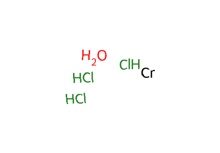 Cl.Cl.Cl.O.[Cr]